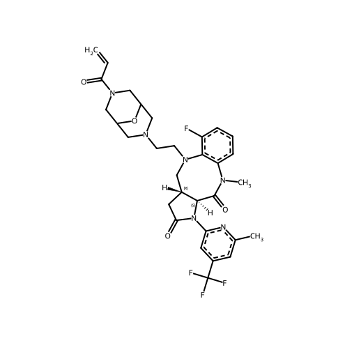 C=CC(=O)N1CC2CN(CCN3C[C@H]4CC(=O)N(c5cc(C(F)(F)F)cc(C)n5)[C@@H]4C(=O)N(C)c4cccc(F)c43)CC(C1)O2